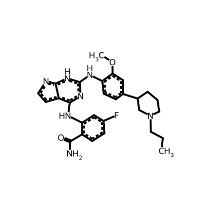 CCCN1CCCC(c2ccc(Nc3nc(Nc4cc(F)ccc4C(N)=O)c4ccnc-4[nH]3)c(OC)c2)C1